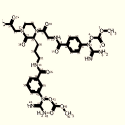 COC(=O)ON(C(=N)N)c1ccc(C(=O)NCC(=O)N2CCN(CC(=O)O)C(=O)[C@@H]2CCCNC(=O)c2cccc(N(OC(=O)OC)C(=N)N)c2)cc1